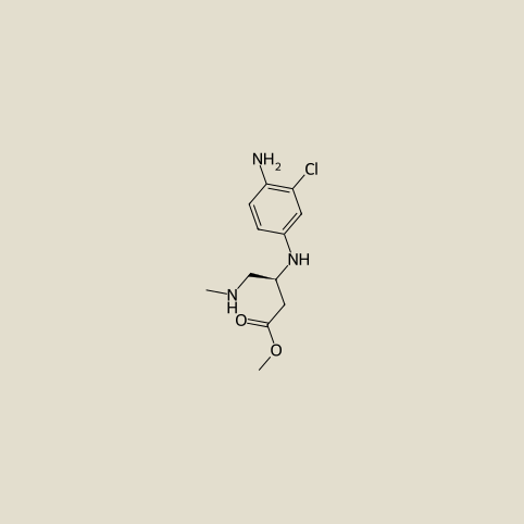 CNC[C@H](CC(=O)OC)Nc1ccc(N)c(Cl)c1